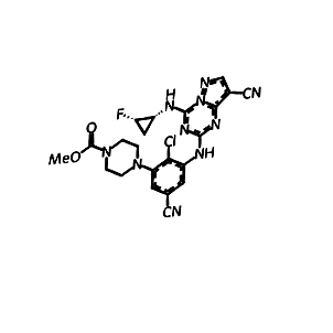 COC(=O)N1CCN(c2cc(C#N)cc(Nc3nc(N[C@@H]4C[C@@H]4F)n4ncc(C#N)c4n3)c2Cl)CC1